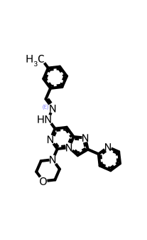 Cc1cccc(/C=N/Nc2cc3nc(-c4ccccn4)cn3c(N3CCOCC3)n2)c1